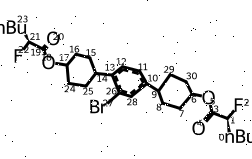 CCCC[C@H](F)C(=O)OC1CCC(c2ccc(C3CCC(OC(=O)[C@@H](F)CCCC)CC3)c(Br)c2)CC1